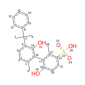 Cc1ccc(C(C)(C)c2ccccc2)c(O)c1-c1c(O)ccc(S(=O)(=O)O)c1C